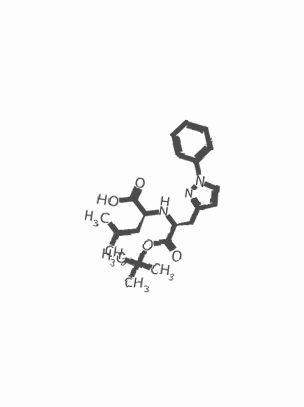 CC(C)C[C@H](N[C@@H](Cc1ccn(-c2ccccc2)n1)C(=O)OC(C)(C)C)C(=O)O